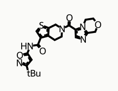 CC(C)(C)c1cc(NC(=O)c2csc3c2CCN(C(=O)c2cnc4n2CCOC4)C3)on1